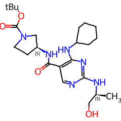 C[C@@H](CO)Nc1ncc(C(=O)N[C@H]2CCN(C(=O)OC(C)(C)C)C2)c(NC2CCCCC2)n1